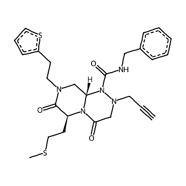 C#CCN1CC(=O)N2[C@@H](CCSC)C(=O)N(CCc3cccs3)C[C@@H]2N1C(=O)NCc1ccccc1